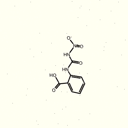 O=C(Nc1ccccc1C(=O)O)N[N+](=O)[O-]